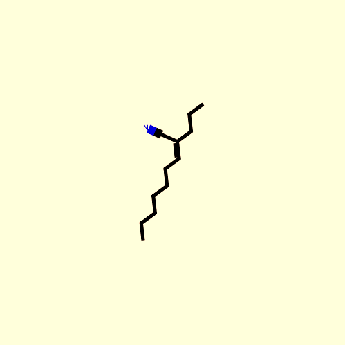 CCCCCCC=C(C#N)CCC